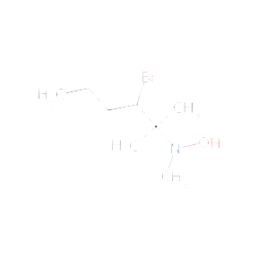 CCCC(Br)C(C)(C)N(C)O